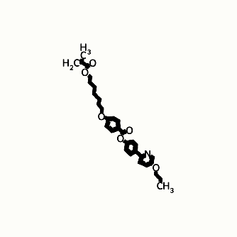 C=C(C)C(=O)OCCCCCCCOc1ccc(C(=O)Oc2ccc(-c3ccc(OCCC)cn3)cc2)cc1